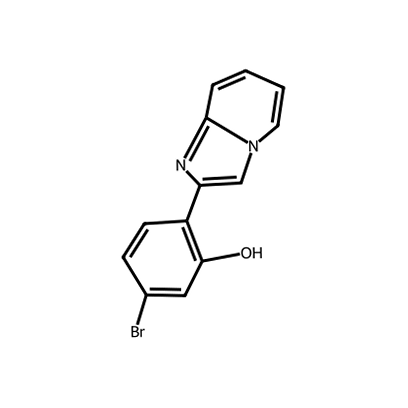 Oc1cc(Br)ccc1-c1cn2ccccc2n1